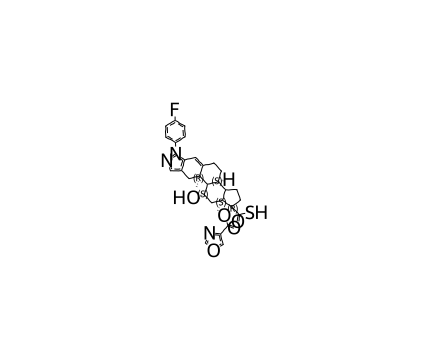 C[C@]12Cc3cnn(-c4ccc(F)cc4)c3C=C1CC[C@@H]1C2[C@@H](O)C[C@@]2(C)C1CC[C@]2(OC(=O)c1cocn1)C(=O)S